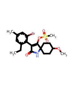 CCc1cc(C)cc(Br)c1C1=C(OS(C)(=O)=O)C2(CCC(OC)CC2)NC1=O